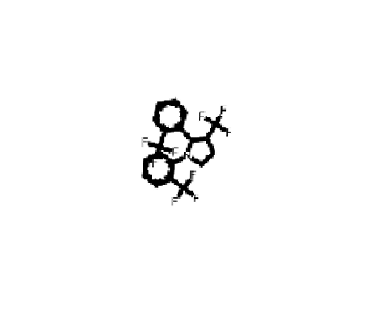 FC(F)(F)c1ccccc1C1C(C(F)(F)F)CCN1c1ccccc1C(F)(F)F